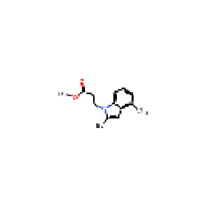 [CH2]Cc1cc2c(C)cccc2n1CCC(=O)OC(C)(C)C